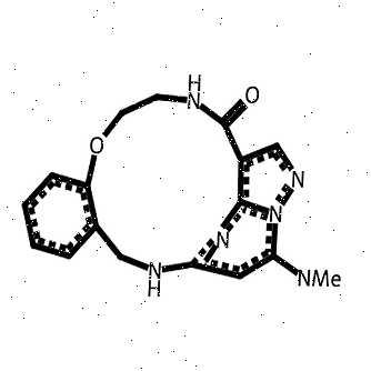 CNc1cc2nc3c(cnn13)C(=O)NCCOc1ccccc1CN2